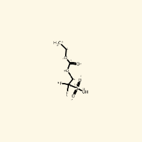 CCOC(=O)OCC(F)(F)S(=O)(=O)O